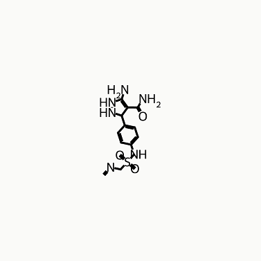 C=NCS(=O)(=O)Nc1ccc(C2NNC(N)=C2C(N)=O)cc1